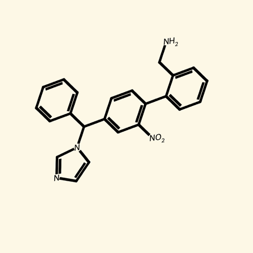 NCc1ccccc1-c1ccc(C(c2ccccc2)n2ccnc2)cc1[N+](=O)[O-]